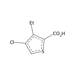 CCc1c(Cl)csc1C(=O)O